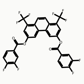 O=C(Oc1cc(C(F)(F)F)c2ccc3c(C(F)(F)F)cc(OC(=O)c4ccc(F)c(F)c4)cc3c2c1)c1ccc(F)c(F)c1